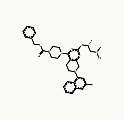 CCN(C)C[C@@H](C)Oc1nc2c(c(N3CCN(C(=O)OCc4ccccc4)CC3)n1)CCN(c1cc(C)cc3ccccc13)C2